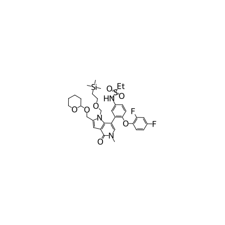 CCS(=O)(=O)Nc1ccc(Oc2ccc(F)cc2F)c(-c2cn(C)c(=O)c3cc(COC4CCCCO4)n(COCC[Si](C)(C)C)c23)c1